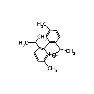 Cc1ccc(C(C)C)c(-c2c(C(C)C)ccc(C)c2Cl)c1